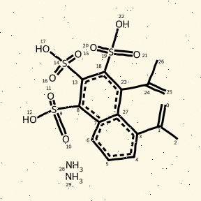 C=C(C)c1cccc2c(S(=O)(=O)O)c(S(=O)(=O)O)c(S(=O)(=O)O)c(C(=C)C)c12.N.N